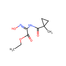 CCOC(=O)/C(=N\O)NC(=O)C1(C)CC1